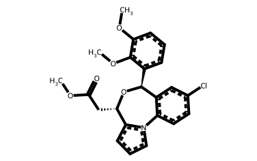 COC(=O)C[C@@H]1O[C@@H](c2cccc(OC)c2OC)c2cc(Cl)ccc2-n2cccc21